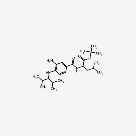 CC(C)CC(NC(=O)c1ccc(NC(C(C)C)C(C)C)c(N)c1)C(=O)OC(C)(C)C